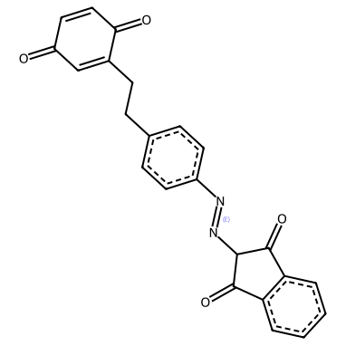 O=C1C=CC(=O)C(CCc2ccc(/N=N/C3C(=O)c4ccccc4C3=O)cc2)=C1